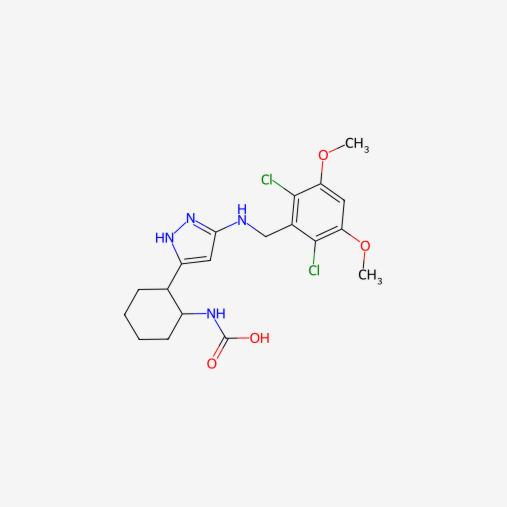 COc1cc(OC)c(Cl)c(CNc2cc(C3CCCCC3NC(=O)O)[nH]n2)c1Cl